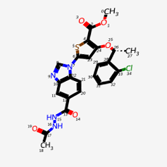 COC(=O)c1sc(-n2cnc3cc(C(=O)NNC(C)=O)ccc32)cc1O[C@H](C)c1ccccc1Cl